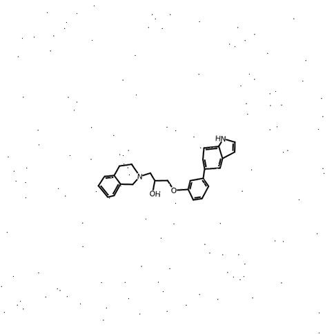 OC(COc1cccc(-c2ccc3[nH]ccc3c2)c1)CN1CCc2ccccc2C1